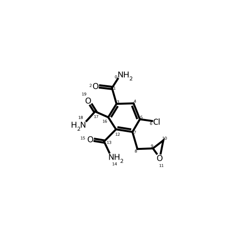 NC(=O)c1cc(Cl)c(CC2CO2)c(C(N)=O)c1C(N)=O